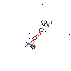 CCOC(=O)CC(C#N)c1ccc(OCc2ccc(OC/C(=N/OC)c3ccccc3)cc2)cc1